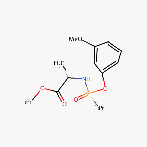 COc1cccc(O[P@@](=O)(N[C@@H](C)C(=O)OC(C)C)C(C)C)c1